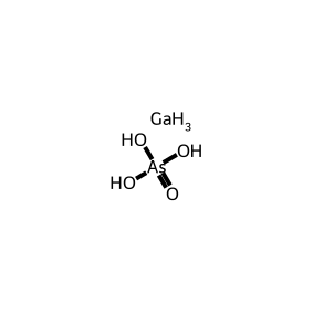 O=[As](O)(O)O.[GaH3]